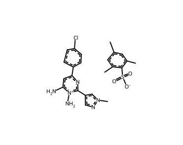 Cc1cc(C)c(S(=O)(=O)[O-])c(C)c1.Cn1cc(-c2nc(-c3ccc(Cl)cc3)cc(N)[n+]2N)cn1